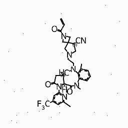 C=CC(=O)N1CC2(CN(CCN3C[C@H]4CC(=O)N(c5cc(C(F)(F)F)cc(C)n5)[C@@H]4C(=O)N(C)c4cccc(C)c43)C[C@@H]2C#N)C1